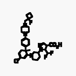 CC1(c2ccc(N3CCN(CC4(F)CCC4)CC3)cc2)CC=C(Cl)C=C1N1CCCC(N2N=CC(C(=O)O)C2C(F)F)C1